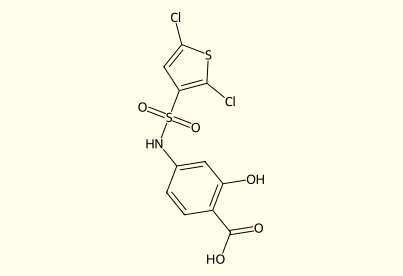 O=C(O)c1ccc(NS(=O)(=O)c2cc(Cl)sc2Cl)cc1O